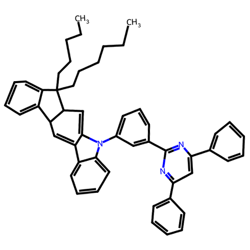 CCCCCCC1(CCCCC)c2ccccc2C2C=c3c(n(-c4cccc(-c5nc(-c6ccccc6)cc(-c6ccccc6)n5)c4)c4ccccc34)=CC21